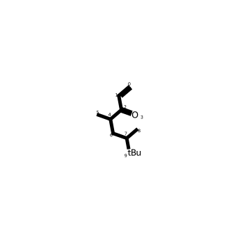 C=CC(=O)C(C)CC(C)C(C)(C)C